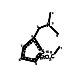 CCOC(C)=O.CN(C)Cc1cccs1